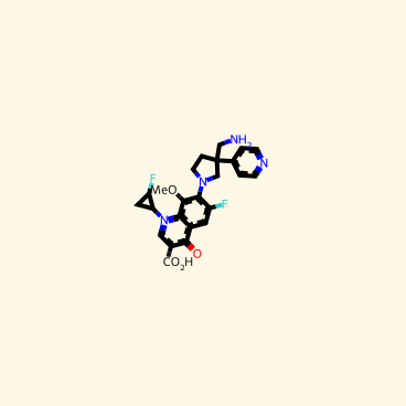 COc1c(N2CCC(CN)(c3ccncc3)C2)c(F)cc2c(=O)c(C(=O)O)cn(C3CC3F)c12